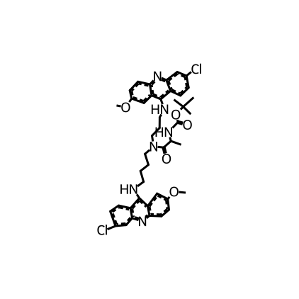 COc1ccc2nc3cc(Cl)ccc3c(NCCCCN(CCCNc3c4ccc(Cl)cc4nc4ccc(OC)cc34)C(=O)C(C)NC(=O)OC(C)(C)C)c2c1